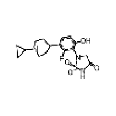 O=C1CN(c2c(O)ccc(C3CCN(C4CC4)CC3)c2F)S(=O)(=O)N1